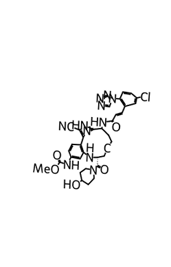 COC(=O)Nc1ccc2c(c1)N[C@@H](C(=O)N1CCC(O)CC1)CCCC[C@H](NC(=O)/C=C/c1cc(Cl)ccc1-n1cnnn1)c1nc-2c(C#N)[nH]1